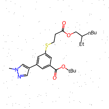 CCCCC(CC)COC(=O)CCSc1cc(C(=O)OC(C)(C)C)cc(-c2cnn(C)c2)c1